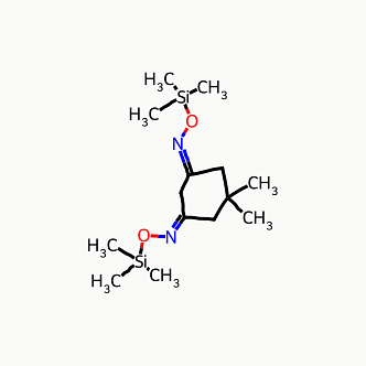 CC1(C)CC(=NO[Si](C)(C)C)CC(=NO[Si](C)(C)C)C1